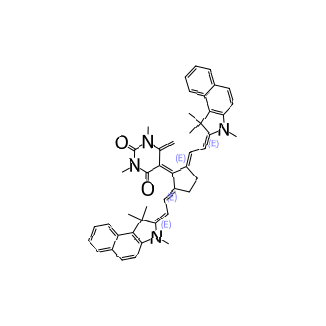 C=c1c(=C2/C(=C/C=C3/N(C)c4ccc5ccccc5c4C3(C)C)CC/C2=C\C=C2\N(C)c3ccc4ccccc4c3C2(C)C)c(=O)n(C)c(=O)n1C